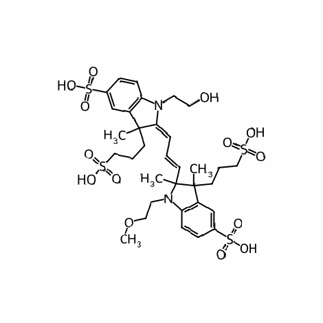 COCCN1c2ccc(S(=O)(=O)O)cc2C(C)(CCCS(=O)(=O)O)C1(C)/C=C/C=C1/N(CCO)c2ccc(S(=O)(=O)O)cc2C1(C)CCCS(=O)(=O)O